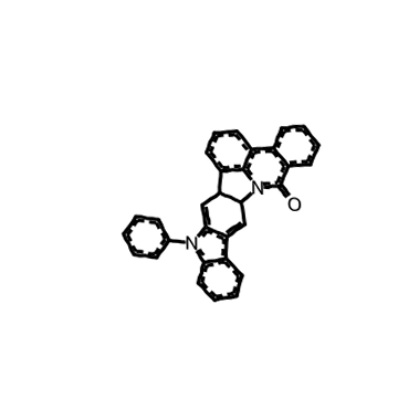 O=c1c2ccccc2c2cccc3c2n1C1C=c2c(n(-c4ccccc4)c4ccccc24)=CC31